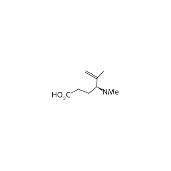 C=C(C)[C@H](CCC(=O)O)NC